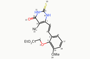 CCOC(=O)COc1c(/C=C/c2[nH]c(=S)[nH]c(=O)c2C#N)cccc1OC